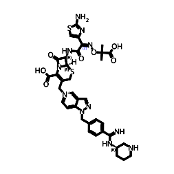 CC(C)(O/N=C(\C(=O)N[C@@H]1C(=O)N2C(C(=O)O)=C(C[n+]3ccc4c(cnn4Cc4ccc(C(=N)N[C@@H]5CCCNC5)cc4)c3)CS[C@H]12)c1csc(N)n1)C(=O)O